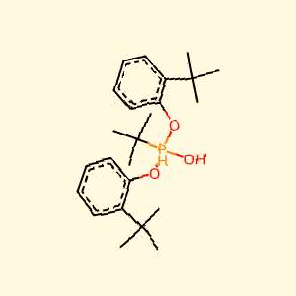 CC(C)(C)c1ccccc1O[PH](O)(Oc1ccccc1C(C)(C)C)C(C)(C)C